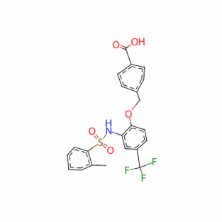 Cc1ccccc1S(=O)(=O)Nc1cc(C(F)(F)F)ccc1OCc1ccc(C(=O)O)cc1